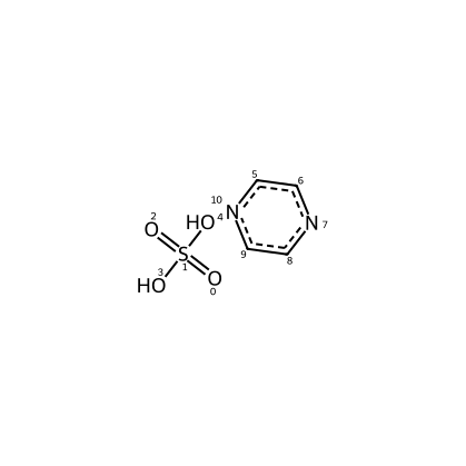 O=S(=O)(O)O.c1cnccn1